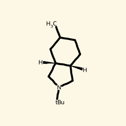 CC1CC[C@@H]2CN(C(C)(C)C)C[C@@H]2C1